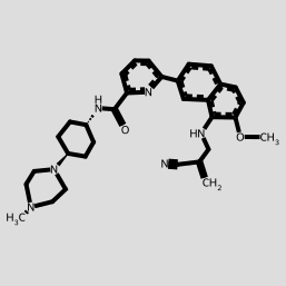 C=C(C#N)CNc1c(OC)ccc2ccc(-c3cccc(C(=O)N[C@H]4CC[C@H](N5CCN(C)CC5)CC4)n3)cc12